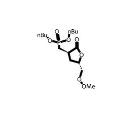 CCCCOP(=O)(C[C@@H]1C[C@@H](COOC)OC1=O)OCCCC